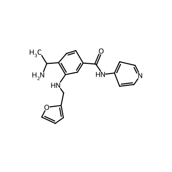 CC(N)c1ccc(C(=O)Nc2ccncc2)cc1NCc1ccco1